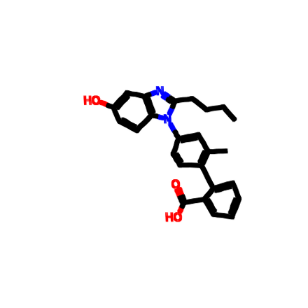 CCCCc1nc2cc(O)ccc2n1-c1ccc(-c2ccccc2C(=O)O)c(C)c1